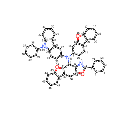 c1ccc(-c2nc3c(N(c4ccc5c(c4)oc4ccccc45)c4ccc5c(c4)c4ccccc4n5-c4ccccc4)c4oc5ccccc5c4cc3o2)cc1